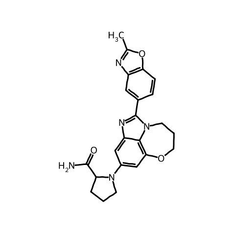 Cc1nc2cc(-c3nc4cc(N5CCCC5C(N)=O)cc5c4n3CCCO5)ccc2o1